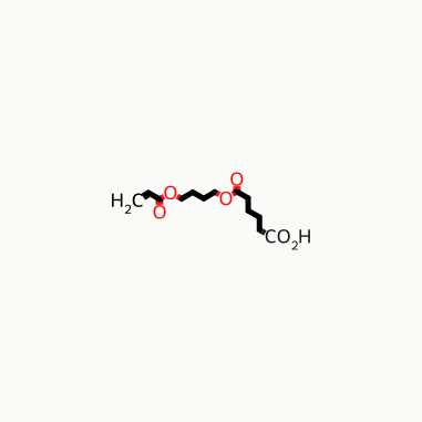 C=CC(=O)OCCCCOC(=O)CCCCC(=O)O